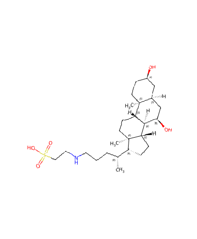 C[C@H](CCCNCCS(=O)(=O)O)[C@H]1CC[C@H]2[C@@H]3[C@H](O)C[C@@H]4C[C@H](O)CC[C@]4(C)[C@H]3CC[C@]12C